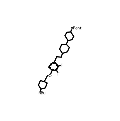 CCCCCC1CCC(C2CCC(CCc3ccc(OCC4CCC(CCCC)CC4)c(F)c3F)CC2)CC1